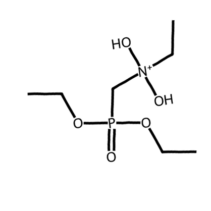 CCOP(=O)(C[N+](O)(O)CC)OCC